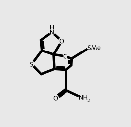 CSC1=CC(C(N)=O)=C2CSC3=CNOC32C1